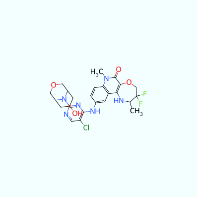 CC1Nc2c(c(=O)n(C)c3ccc(Nc4nc(N5C6COCC5CC(O)C6)ncc4Cl)cc23)OCC1(F)F